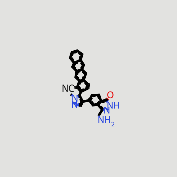 Cn1ncc(-c2ccc3c(=O)[nH]nc(CN)c3c2)c1-c1ccc2cc3cc4ccccc4cc3cc2c1C#N